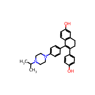 CC(C)N1CCN(c2ccc(C3=C(c4ccc(O)cc4)CCc4cc(O)ccc43)cc2)CC1